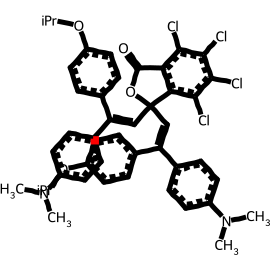 CC(C)Oc1ccc(/C(=C\C2(/C=C(\c3ccc(OC(C)C)cc3)c3ccc(N(C)C)cc3)OC(=O)c3c(Cl)c(Cl)c(Cl)c(Cl)c32)c2ccc(N(C)C)cc2)cc1